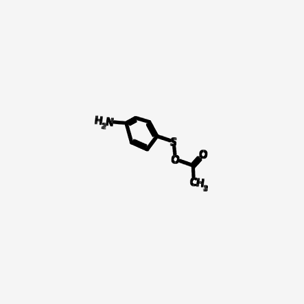 CC(=O)OSc1ccc(N)cc1